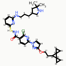 CC1(C)CC(CCCNc2cccc(SNC(=O)c3ccc(-n4ccc(OCCC5C6(CC6)C56CC6)n4)nc3Cl)n2)CN1